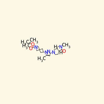 Cc1cc(N2CC[C@@H]3C(=O)N(C)C[C@@H]3C2)nn1C1CC2(C1)CN(C(=O)OC(C)(C)C)C2